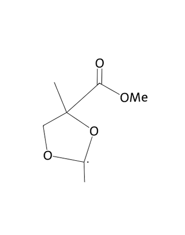 COC(=O)C1(C)CO[C](C)O1